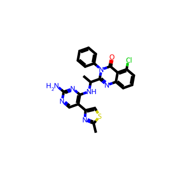 Cc1nc(-c2cnc(N)nc2NC(C)c2nc3cccc(Cl)c3c(=O)n2-c2ccccc2)cs1